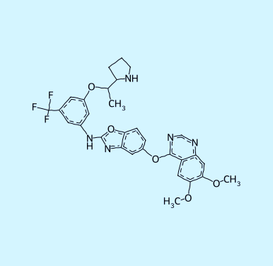 COc1cc2ncnc(Oc3ccc4oc(Nc5cc(OC(C)C6CCCN6)cc(C(F)(F)F)c5)nc4c3)c2cc1OC